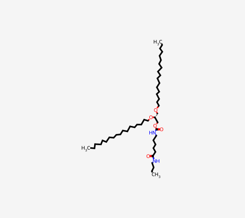 CCCCCCCCCCCCCCCCCCOC[C@H](COC(=O)NCCCCCC(=O)NCCCC)OCCCCCCCCCCCCCCCCCC